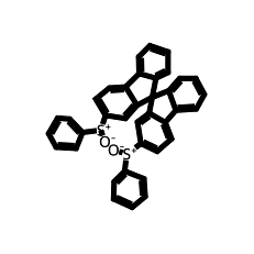 [O-][S+](c1ccccc1)c1ccc2c(c1)C1(c3ccccc3-2)c2ccccc2-c2ccc([S+]([O-])c3ccccc3)cc21